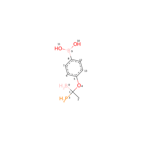 BC(C)(P)Oc1ccc(B(O)O)cc1